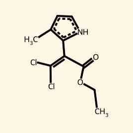 CCOC(=O)C(=C(Cl)Cl)c1[nH]ccc1C